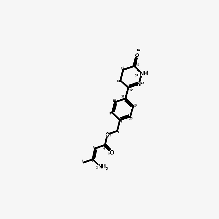 CC(N)=CC(=O)OCc1ccc(C2=NNC(=O)CC2)cc1